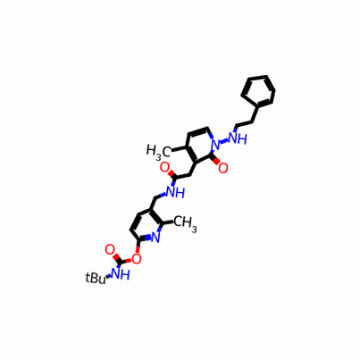 Cc1ccn(NCCc2ccccc2)c(=O)c1CC(=O)NCc1ccc(OC(=O)NC(C)(C)C)nc1C